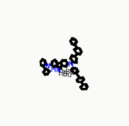 CCCCNC1(CCCC)c2cc(N(c3ccc(-c4ccc(-c5ccccc5)cc4)cc3)c3ccc(-c4cccc(-c5ccccc5)c4)cc3)ccc2-c2ccc(-n3c4ccccc4c4ccccc43)cc21